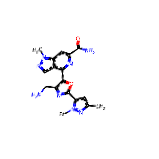 CCn1nc(C)cc1-c1nc(CN)c(-c2nc(C(N)=O)cc3c2cnn3C)o1